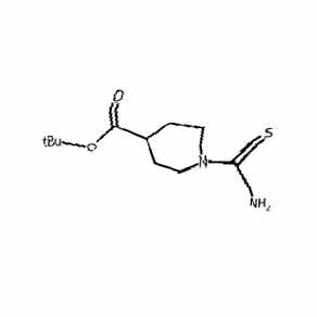 CC(C)(C)OC(=O)C1CCN(C(N)=S)CC1